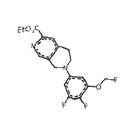 CCOC(=O)c1cc2c(cn1)CN(c1cc(F)c(F)c(OCF)c1)CC2